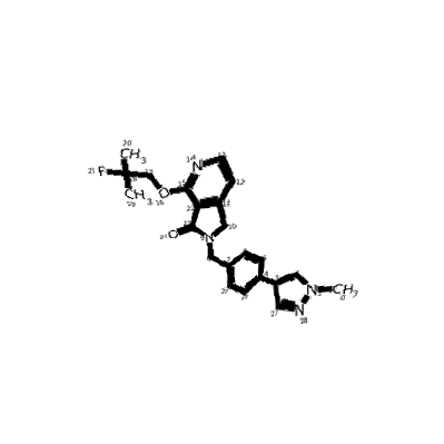 Cn1cc(-c2ccc(CN3Cc4ccnc(OCC(C)(C)F)c4C3=O)cc2)cn1